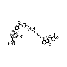 O=C(CN1CCN(C(=O)c2ccc(Nc3nc(C4CC4)cn4c(-c5cn[nH]c5)cnc34)c(F)c2)CC1)NCCCCCCCNc1cccc2c1C(=O)N(C1CCC(=O)NC1=O)C2=O